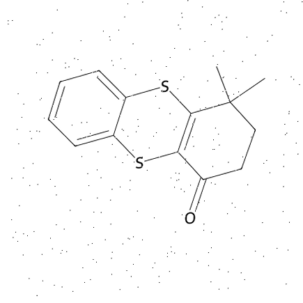 CC1(C)CCC(=O)C2=C1Sc1ccccc1S2